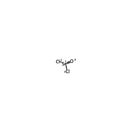 O=[Se](Cl)Cl